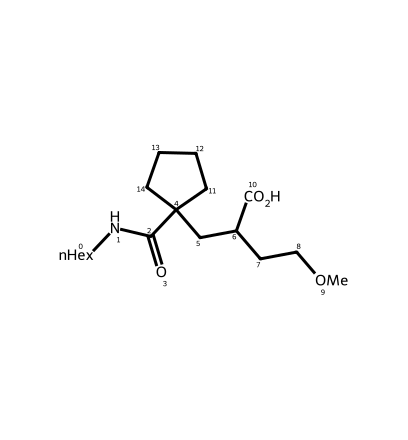 CCCCCCNC(=O)C1(CC(CCOC)C(=O)O)CCCC1